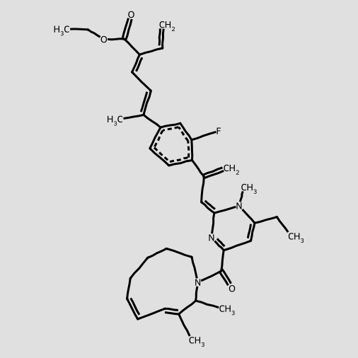 C=C/C(=C\C=C(/C)c1ccc(C(=C)/C=C2/N=C(C(=O)N3CCCC/C=C\C=C(/C)C3C)C=C(CC)N2C)c(F)c1)C(=O)OCC